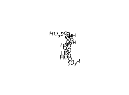 O=C(Nc1cccc(C(=O)Nc2ccc3ccc(S(=O)(=O)O)cc3c2O)c1)C(=O)Nc1cccc(C(=O)Nc2ccc3ccc(S(=O)(=O)O)cc3c2O)c1